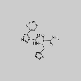 NC(=O)C(=O)C(Cc1cccs1)NC(=O)c1sncc1-c1ccccn1